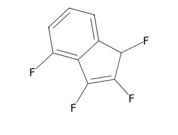 FC1=C(F)C(F)c2cccc(F)c21